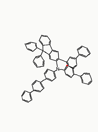 c1ccc(-c2ccc(-c3ccc(N(c4ccc(-c5ccccc5)cc4)c4cc5c(cc4-c4cccc(-c6ccccc6)c4)-c4ccccc4C5(c4ccccc4)c4ccccc4)cc3)cc2)cc1